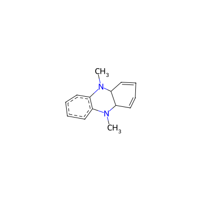 CN1c2ccccc2N(C)C2C=CC=CC21